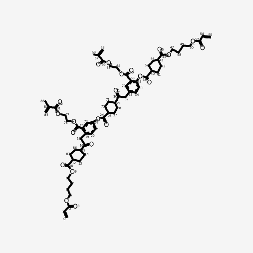 C=CC(=O)OCCCCOC(=O)C1CCC(C(=O)Cc2ccc(OC(=O)C3CCC(C(=O)Cc4ccc(OC(=O)C5CCC(C(=O)OCCCCOC(=O)C=C)CC5)c(C(=O)OCCOC(=O)C(=C)C)c4)CC3)cc2C(=O)OCCOC(=O)C(=C)C)CC1